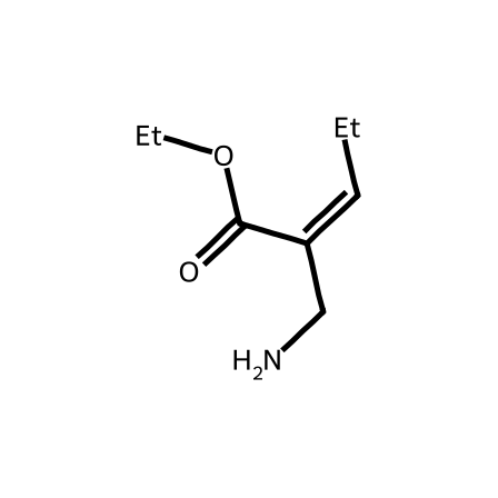 CCC=C(CN)C(=O)OCC